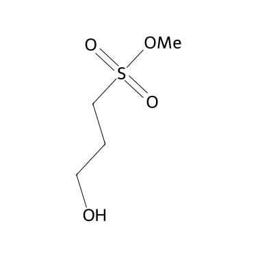 COS(=O)(=O)CCCO